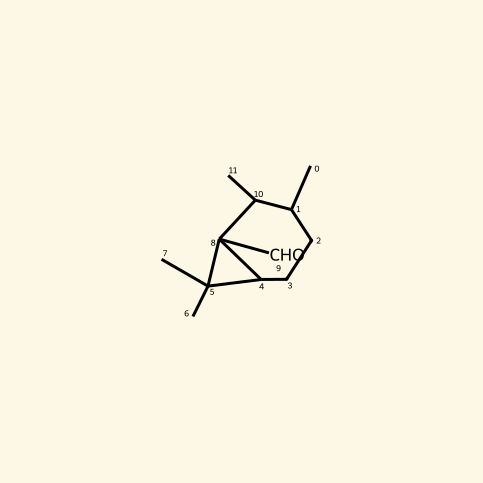 CC1CCC2C(C)(C)C2(C=O)C1C